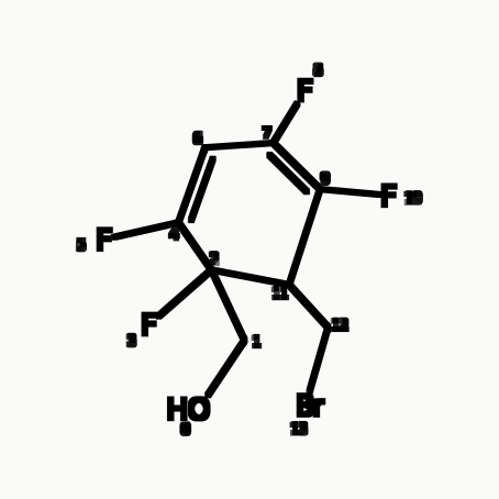 OCC1(F)C(F)=CC(F)=C(F)C1CBr